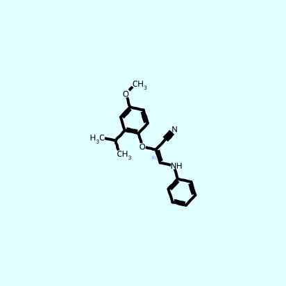 COc1ccc(O/C(C#N)=C/Nc2ccccc2)c(C(C)C)c1